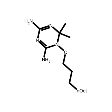 CCCCCCCCCCCON1C(N)=NC(N)=NC1(C)C